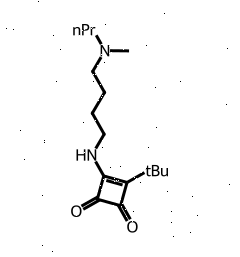 CCCN(C)CCCCNc1c(C(C)(C)C)c(=O)c1=O